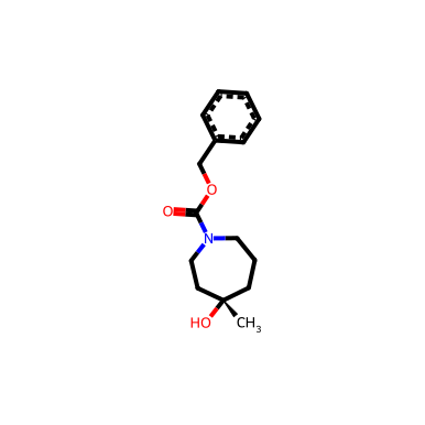 C[C@]1(O)CCCN(C(=O)OCc2ccccc2)CC1